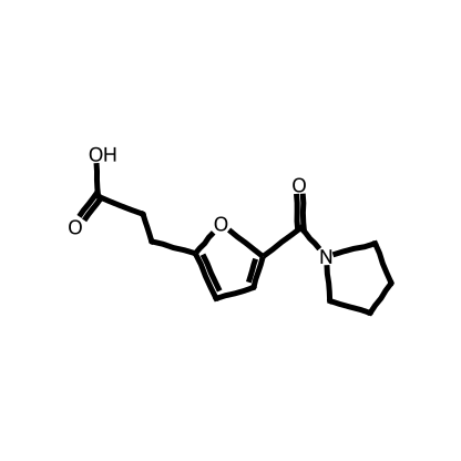 O=C(O)CCc1ccc(C(=O)N2CCCC2)o1